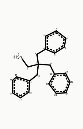 [SnH][CH2]C(Cc1ccccc1)(Cc1ccccc1)Cc1ccccc1